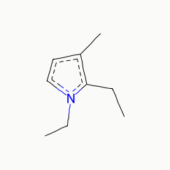 CCc1c(C)ccn1CC